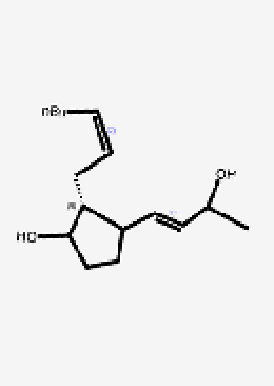 CCCC/C=C\C[C@H]1C(O)CCC1/C=C/C(C)O